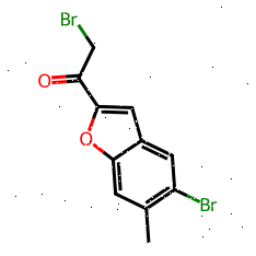 Cc1cc2oc(C(=O)CBr)cc2cc1Br